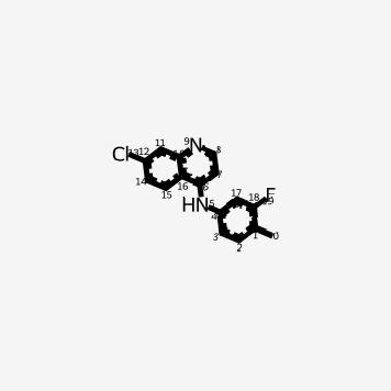 Cc1ccc(Nc2ccnc3cc(Cl)ccc23)cc1F